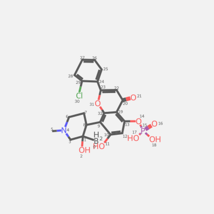 BC1(O)CN(C)CCC1c1c(O)cc(OP(=O)(O)O)c2c(=O)cc(-c3ccccc3Cl)oc12